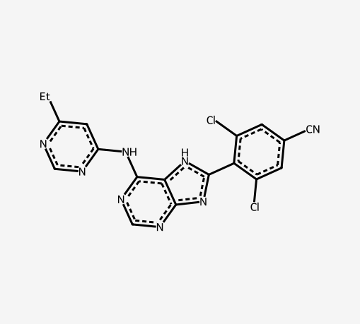 CCc1cc(Nc2ncnc3nc(-c4c(Cl)cc(C#N)cc4Cl)[nH]c23)ncn1